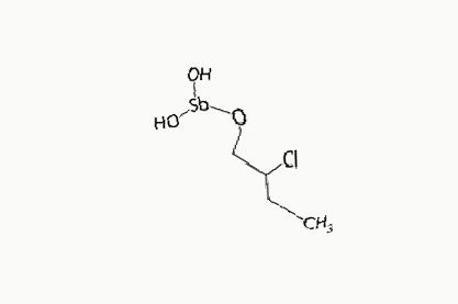 CCC(Cl)C[O][Sb]([OH])[OH]